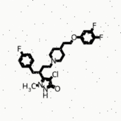 Cn1[nH]c(=O)c(Cl)c1C(CCN1CCC(CCOc2ccc(F)c(F)c2)CC1)Cc1ccc(F)cc1